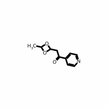 CC1OC(CC(=O)c2ccncc2)O1